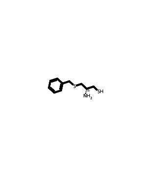 N[C@@H](CS)CSCc1ccccc1